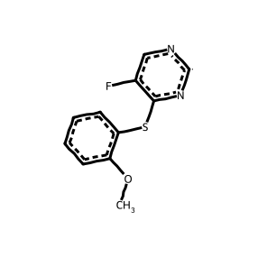 COc1ccccc1Sc1n[c]ncc1F